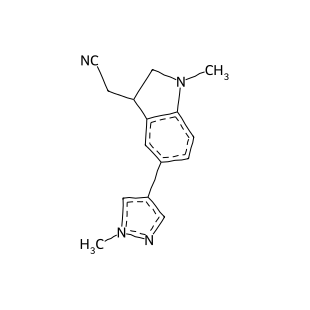 CN1CC(CC#N)c2cc(-c3cnn(C)c3)ccc21